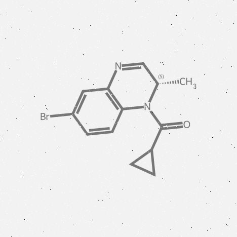 C[C@H]1C=Nc2cc(Br)ccc2N1C(=O)C1CC1